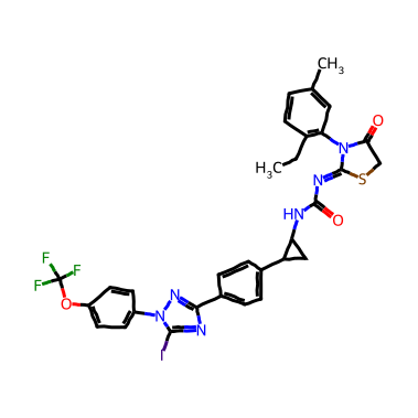 CCc1ccc(C)cc1N1C(=O)CS/C1=N\C(=O)NC1CC1c1ccc(-c2nc(I)n(-c3ccc(OC(F)(F)F)cc3)n2)cc1